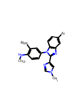 CNc1cc(-n2c(-c3cn(C)cn3)nc3cc(C(C)=O)ccc32)ccc1NC=O